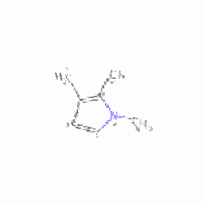 Cc1ccn(C)c1C#N